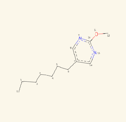 CCCCCCCc1cnc(OC)nc1